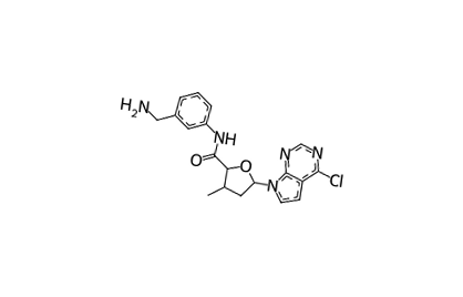 CC1CC(n2ccc3c(Cl)ncnc32)OC1C(=O)Nc1cccc(CN)c1